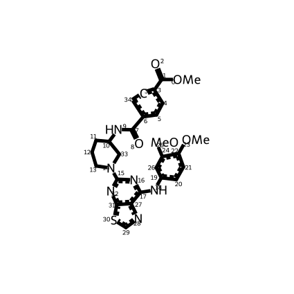 COC(=O)c1ccc(C(=O)NC2CCCN(c3nc(Nc4ccc(OC)c(OC)c4)c4ncsc4n3)C2)cc1